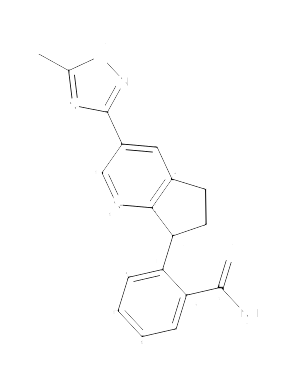 Cc1nc(-c2cnc3c(c2)CCC3c2ccccc2C(N)=O)no1